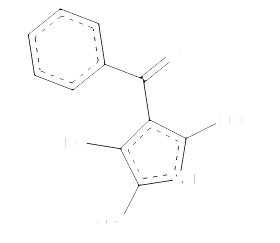 CCOC(=O)c1[nH]c(C=O)c(C(=O)c2ccccc2)c1C